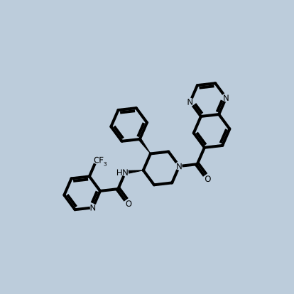 O=C(N[C@@H]1CCN(C(=O)c2ccc3nccnc3c2)C[C@@H]1c1ccccc1)c1ncccc1C(F)(F)F